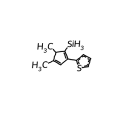 CC1=CC(c2cccs2)=C([SiH3])C1C